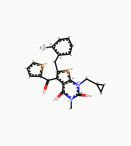 Cn1c(=O)c2c(C(=O)c3cccs3)c(Cc3ccccc3C(F)(F)F)sc2n(CC2CC2)c1=O